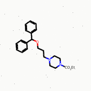 CCOC(=O)N1CCN(CCCOC(c2ccccc2)c2ccccc2)CC1